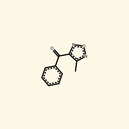 Cc1nonc1C(=O)c1ccccc1